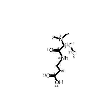 CN(C)C([13CH2][13CH3])C(=O)NCCC(=O)O